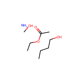 CCCCO.CCOC(C)=O.CO.N